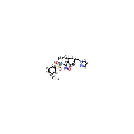 COc1cc(Cn2cccn2)cc2onc(NS(=O)(=O)c3cccc(C(F)(F)F)c3)c12